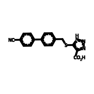 N#Cc1ccc(-c2ccc(CSc3[nH]nnc3C(=O)O)cc2)cc1